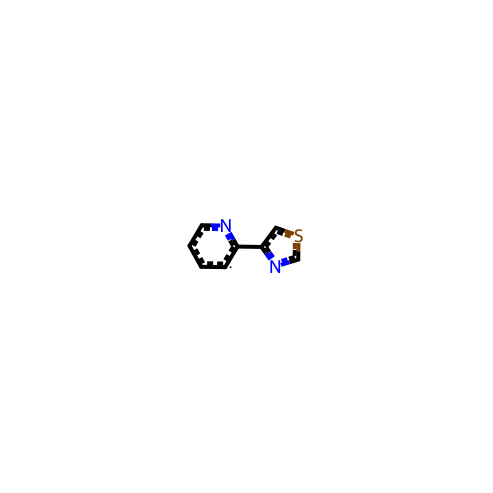 [c]1cccnc1-c1cscn1